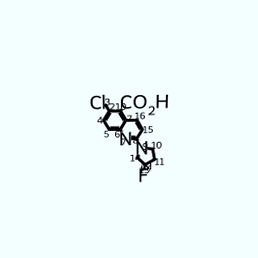 O=C(O)c1c(Cl)ccc2nc(N3CC[C@H](F)C3)ccc12